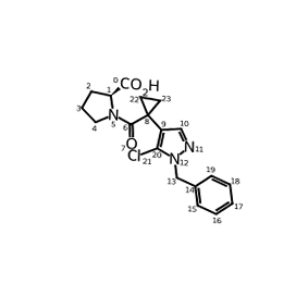 O=C(O)[C@@H]1CCCN1C(=O)C1(c2cnn(Cc3ccccc3)c2Cl)CC1